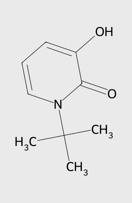 CC(C)(C)n1cccc(O)c1=O